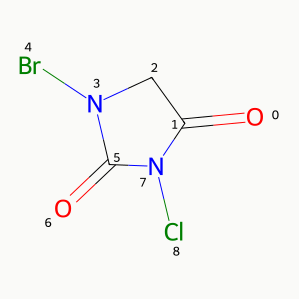 O=C1CN(Br)C(=O)N1Cl